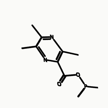 Cc1nc(C)c(C(=O)OP(C)C)nc1C